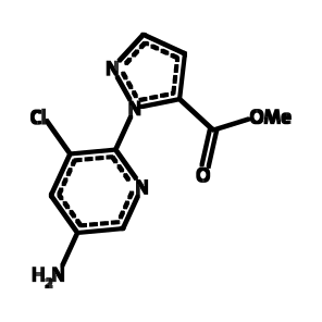 COC(=O)c1ccnn1-c1ncc(N)cc1Cl